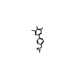 Cc1cc(-c2ccc(CN(C)C)cc2)cc(C)c1C